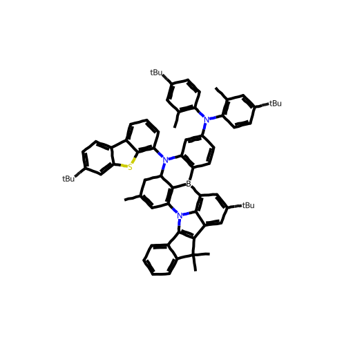 CC1=CC2=C3B(c4ccc(N(c5ccc(C(C)(C)C)cc5C)c5ccc(C(C)(C)C)cc5C)cc4N(c4cccc5c4sc4cc(C(C)(C)C)ccc45)C3C1)c1cc(C(C)(C)C)cc3c4c(n2c13)-c1ccccc1C4(C)C